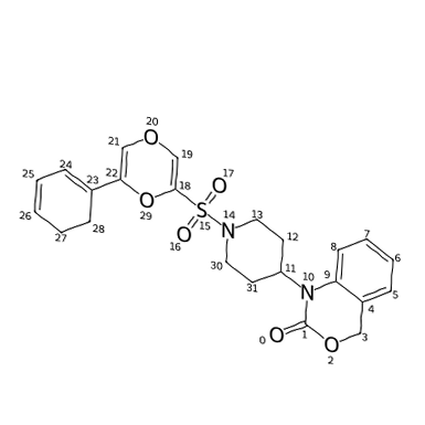 O=C1OCc2ccccc2N1C1CCN(S(=O)(=O)C2=COC=C(C3=CC=CCC3)O2)CC1